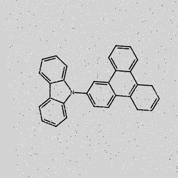 C1=CCc2c(c3ccccc3c3cc(-n4c5ccccc5c5ccccc54)ccc23)C1